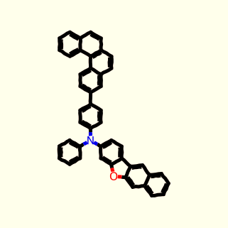 c1ccc(N(c2ccc(-c3ccc4c(ccc5ccc6ccccc6c54)c3)cc2)c2ccc3c(c2)oc2cc4ccccc4cc23)cc1